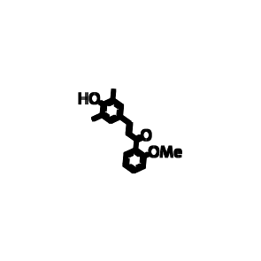 COc1ccccc1C(=O)/C=C/c1cc(C)c(O)c(C)c1